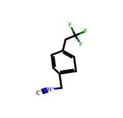 [C-]#[N+]Cc1ccc(CC(F)(F)F)cc1